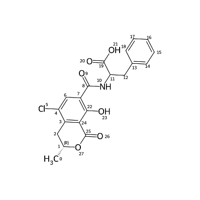 C[C@@H]1Cc2c(Cl)cc(C(=O)NC(Cc3ccccc3)C(=O)O)c(O)c2C(=O)O1